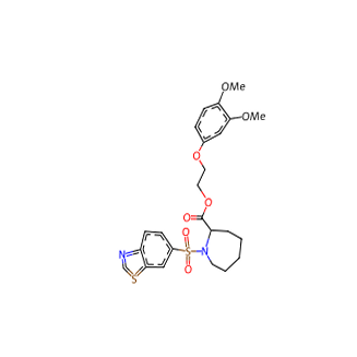 COc1ccc(OCCOC(=O)C2CCCCCN2S(=O)(=O)c2ccc3ncsc3c2)cc1OC